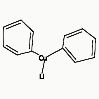 [Li][Cu]([c]1ccccc1)[c]1ccccc1